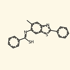 Cc1cc2nc(-c3ccccc3)sc2cc1/N=C(\S)c1ccccc1